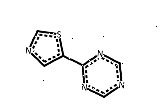 [c]1ncnc(-c2cncs2)n1